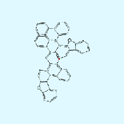 c1ccc(-c2ccccc2N(c2ccccc2-c2ccc3c4ccccc4c4c(ccc5oc6ccccc6c54)c3c2)c2cccc3c2oc2ccccc23)cc1